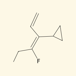 C=C/C(=C(/F)CC)C1CC1